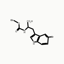 CC(C)(C)OC(=O)NC(Cc1c[nH]c2ccc(Br)cc12)C(=O)O